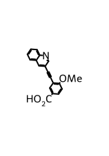 COc1ccc(C(=O)O)cc1C#Cc1cnc2ccccc2c1